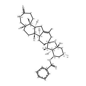 CC1=C2C[C@H]3[C@@H](CC[C@@H]4CNC(=O)CC[C@@]43C)[C@@H]2CC[C@@]2(C1)O[C@@H]1C[C@H](C)CN(OC(=O)c3ccccc3)[C@H]1[C@H]2C